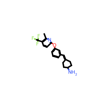 Cc1nc(Oc2cccc(C=C3CCC(N)CC3)c2)ccc1C(F)(F)F